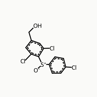 [O-][S+](c1ccc(Cl)cc1)c1c(Cl)cc(CO)cc1Cl